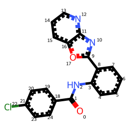 O=C(Nc1ccccc1-c1nc2ncccc2o1)c1ccc(Cl)cc1